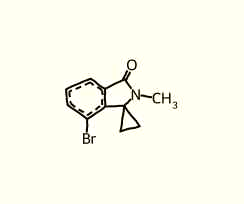 CN1C(=O)c2cccc(Br)c2C12CC2